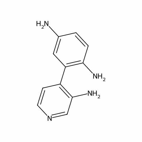 Nc1ccc(N)c(-c2ccncc2N)c1